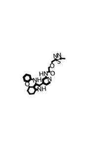 Cc1nnc(COCC(=O)Nc2cc(-c3[nH]c4c(c3Nc3ccccc3)C(=O)CCC4)ccn2)s1